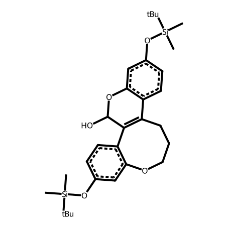 CC(C)(C)[Si](C)(C)Oc1ccc2c(c1)OC(O)C1=C2CCCOc2cc(O[Si](C)(C)C(C)(C)C)ccc21